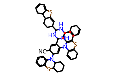 N#CC1C=C(C2NC(C3=CC=CCC3)NC(C3C=C4SC5=CC=CCC5C4CC3)N2)C(N2C3=C(CCC=C3)SC3=C2CCCC3)=CC1N1c2ccccc2SC2CCCCC21